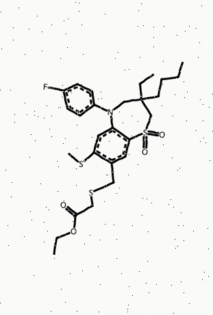 CCCCC1(CC)CN(c2ccc(F)cc2)c2cc(SC)c(CSCC(=O)OCC)cc2S(=O)(=O)C1